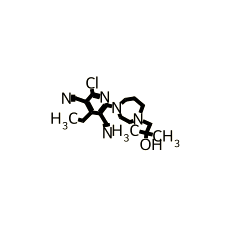 CCc1c(C#N)c(Cl)nc(N2CCCN(CC(C)(C)O)CC2)c1C#N